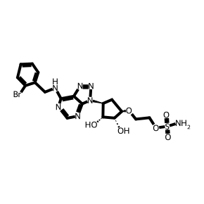 NS(=O)(=O)OCCO[C@@H]1C[C@H](n2nnc3c(NCc4ccccc4Br)ncnc32)[C@@H](O)[C@H]1O